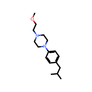 COCCN1CCN(c2ccc(CC(C)C)cc2)CC1